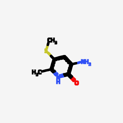 CSc1cc(N)c(=O)[nH]c1C